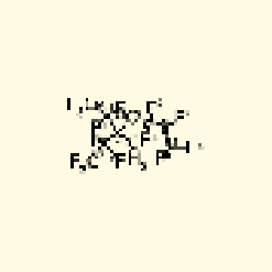 CC(OC(F)(F)C(F)=C(F)F)(C(F)(F)C(F)(F)F)C(F)(F)C(F)(F)F